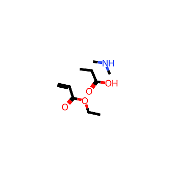 C=CC(=O)OCC.CCC(=O)O.CNC